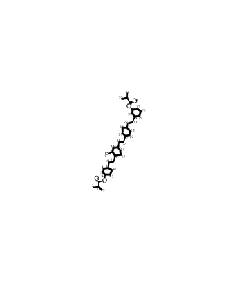 C=C(C)C(=O)Oc1ccc(/C=C/c2ccc(/C=C/c3ccc(/C=C/c4cccc(OC(=O)C(=C)C)c4)cc3)cc2F)cc1